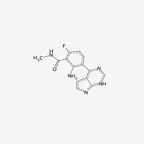 CNC(=O)c1c(F)ccc(-c2nc[nH]c3nccc2-3)c1N